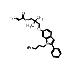 C=CC(=O)OCC(C)(COc1ccc2cc(-c3ccccc3)n(CCCC(C)C)c2c1)C(F)(F)F